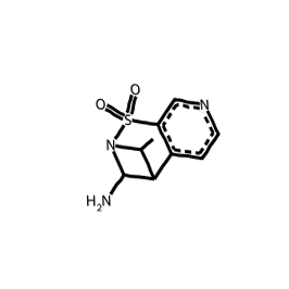 CC1C2c3ccncc3S(=O)(=O)N1C2N